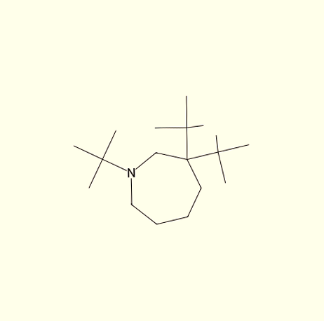 CC(C)(C)N1CCCCC(C(C)(C)C)(C(C)(C)C)C1